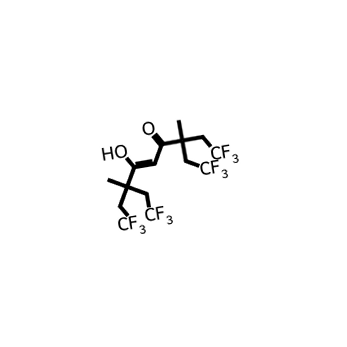 CC(CC(F)(F)F)(CC(F)(F)F)C(=O)/C=C(\O)C(C)(CC(F)(F)F)CC(F)(F)F